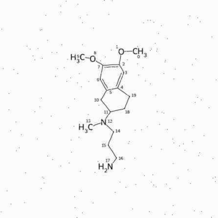 COc1cc2c(cc1OC)CC(N(C)CCCN)CC2